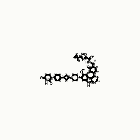 COc1cc2c(cc1N1CCN(C3CC(c4ccc([C@H]5CCC(=O)NC5=O)cc4)C3)CC1)[nH]c1ncnc(-c3ccc([C@@H](C)NC(=O)c4nc(C5(C)CC5)no4)c(C)c3F)c12